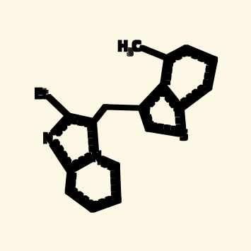 CCc1nc2ccccn2c1Cc1csc2cccc(C)c12